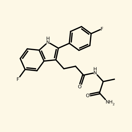 CC(NC(=O)CCc1c(-c2ccc(F)cc2)[nH]c2ccc(F)cc12)C(N)=O